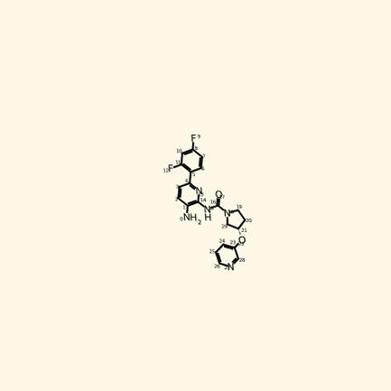 Nc1ccc(-c2ccc(F)cc2F)nc1NC(=O)N1CC[C@H](Oc2cccnc2)C1